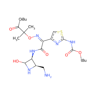 CC(C)COC(=O)C(C)(C)O/N=C(\C(=O)N[C@@H]1C(O)N[C@@H]1CN)c1csc(NC(=O)OC(C)(C)C)n1